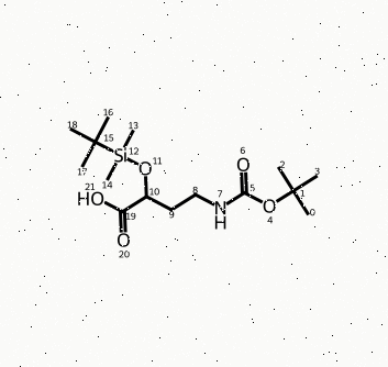 CC(C)(C)OC(=O)NCCC(O[Si](C)(C)C(C)(C)C)C(=O)O